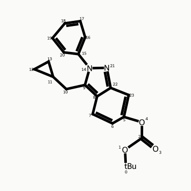 CC(C)(C)OC(=O)Oc1ccc2c(CC3CC3)n(-c3ccccc3)nc2c1